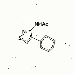 CC(=O)Nc1nscc1-c1ccccc1